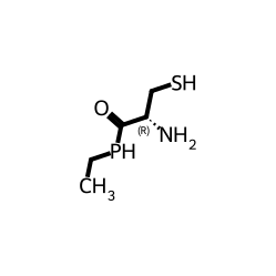 CCPC(=O)[C@@H](N)CS